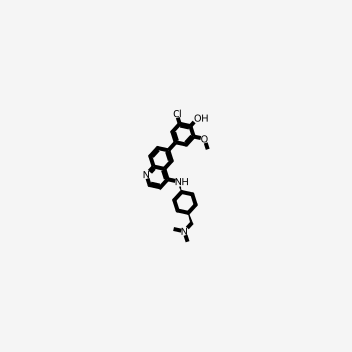 COc1cc(-c2ccc3nc[c]c(N[C@H]4CC[C@H](CN(C)C)CC4)c3c2)cc(Cl)c1O